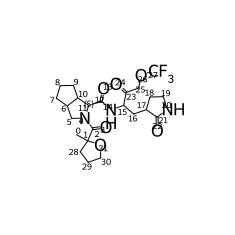 CC1(C(=O)N2CC3CCCC3[C@H]2C(=O)NC(CC2CCNC2=O)C(=O)COC(F)(F)F)CCCO1